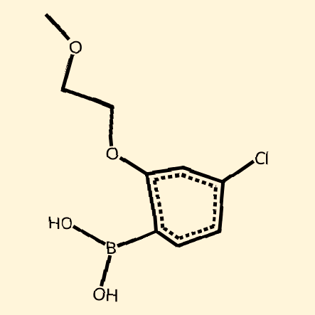 COCCOc1cc(Cl)ccc1B(O)O